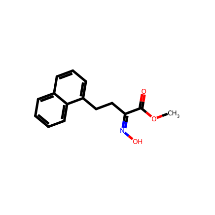 COC(=O)C(CCc1cccc2ccccc12)=NO